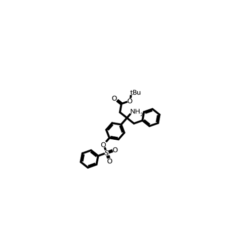 CC(C)(C)OC(=O)CC(N)(Cc1ccccc1)c1ccc(OS(=O)(=O)c2ccccc2)cc1